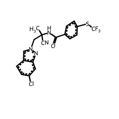 CC(C#N)(Cn1cc2ccc(Cl)cc2n1)NC(=O)c1ccc(SC(F)(F)F)cc1